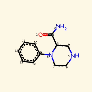 NC(=O)C1CNCCN1c1ccccc1